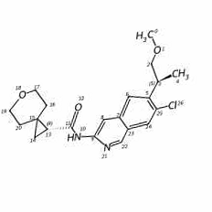 COC[C@@H](C)c1cc2cc(NC(=O)[C@@H]3CC34CCOCC4)ncc2cc1Cl